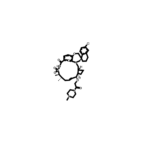 C[C@@H]1[C@@H](C)C/C=C/[C@H](OCC(=O)N2CCN(C)CC2)[C@@H]2CC[C@H]2CN2C[C@@]3(CCCc4cc(Cl)ccc43)COc3ccc(cc32)C(=O)NS1(=O)=O